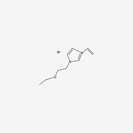 C=C[n+]1ccn(CCOCC)c1.[Br-]